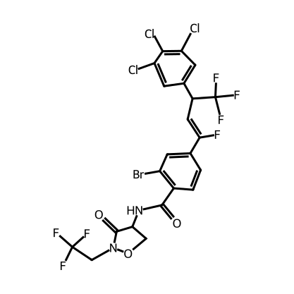 O=C(NC1CON(CC(F)(F)F)C1=O)c1ccc(/C(F)=C/C(c2cc(Cl)c(Cl)c(Cl)c2)C(F)(F)F)cc1Br